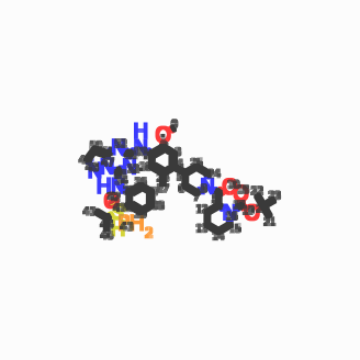 COc1cc(C2CCN(C(=O)C3CCCCN3C(=O)OC(C)(C)C)CC2)c(C)cc1Nc1nc(Nc2ccccc2[SH](=O)(P)C(C)C)n2nccc2n1